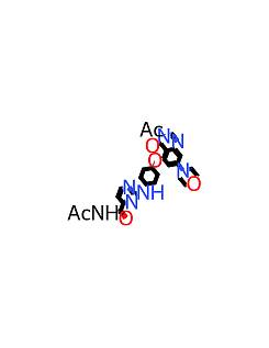 CC(=O)NC(=O)c1ccnc(N[C@H]2CC[C@@H](Oc3cc(N4CCOCC4)cc4ncn(C(C)=O)c(=O)c34)CC2)n1